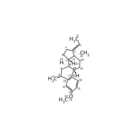 CC=C1CC[C@H]2[C@@H]3C[C@H](C)c4cc(OC)ccc4[C@H]3CC[C@]12C